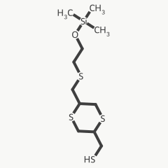 C[Si](C)(C)OCCSCC1CSC(CS)CS1